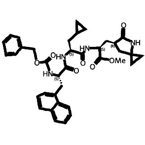 COC(=O)[C@H](C[C@@H]1CC2(CC2)NC1=O)NC(=O)[C@H](CC1CC1)NC(=O)[C@H](Cc1cccc2ccccc12)NC(=O)OCc1ccccc1